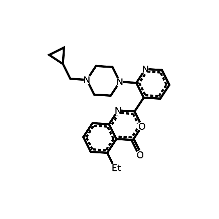 CCc1cccc2nc(-c3cccnc3N3CCN(CC4CC4)CC3)oc(=O)c12